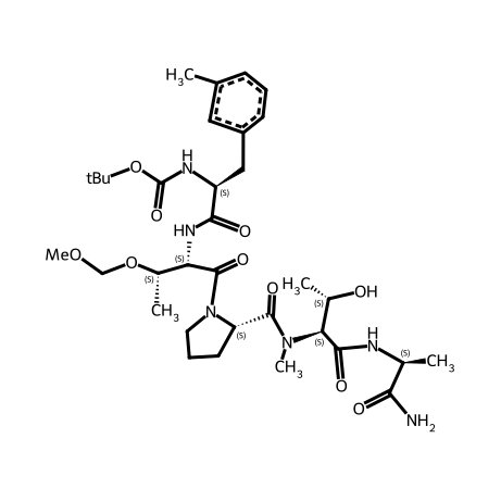 COCO[C@@H](C)[C@H](NC(=O)[C@H](Cc1cccc(C)c1)NC(=O)OC(C)(C)C)C(=O)N1CCC[C@H]1C(=O)N(C)[C@H](C(=O)N[C@@H](C)C(N)=O)[C@H](C)O